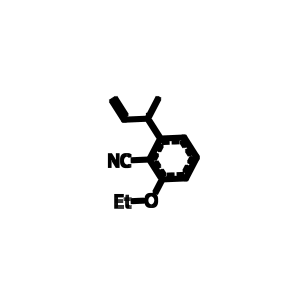 C=C[C](C)c1cccc(OCC)c1C#N